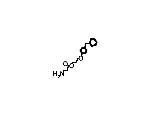 NCCC(=O)OCCCOc1ccc(Cc2ccccc2)cc1